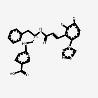 O=C(/C=C/c1c(-n2cnnn2)ccc(Cl)c1F)N[C@H](CNc1ccc(C(=O)O)cn1)Cc1ccccc1